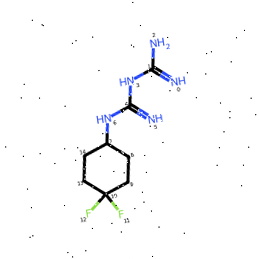 N=C(N)NC(=N)NC1CCC(F)(F)CC1